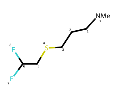 CNCCCSCC(F)F